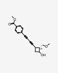 COC[C@@H]1C(O)CC1C#CC#Cc1ccc(C(=O)OC)cc1